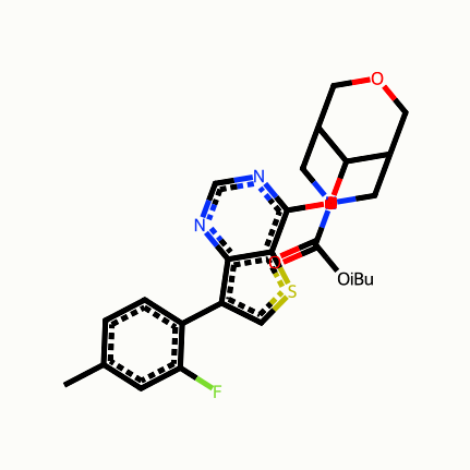 Cc1ccc(-c2csc3c(OC4C5COCC4CN(C(=O)OCC(C)C)C5)ncnc23)c(F)c1